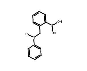 CCN(Cc1ccccc1B(O)O)c1ccccc1